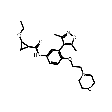 CCOC1CC1C(=O)Nc1ccc(OCCN2CCOCC2)c(-c2c(C)noc2C)c1